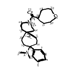 CN(C)C1(c2ccccc2)CCC2(CCN(C(=O)C3CCOCC3)C2)CC1